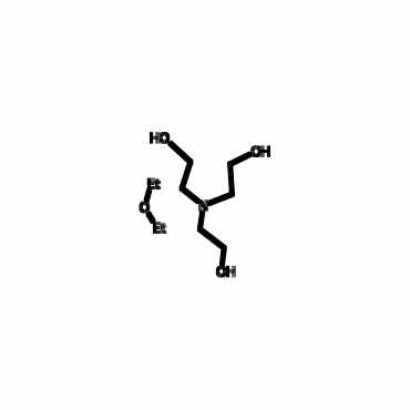 CCOCC.OCCN(CCO)CCO